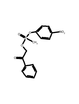 CP(=O)(OCC(=O)c1ccccc1)Oc1ccc([N+](=O)[O-])cc1